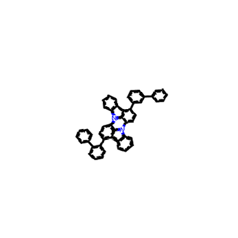 c1ccc(-c2cccc(-c3ccc4c5c3c3ccccc3n5c3ccc(-c5ccccc5-c5ccccc5)c5c6ccccc6n4c53)c2)cc1